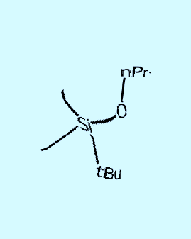 CC[CH]O[Si](C)(C)C(C)(C)C